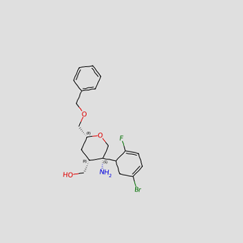 N[C@@]1(C2CC(Br)=CC=C2F)CO[C@@H](COCc2ccccc2)C[C@H]1CO